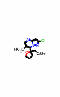 COCC1(c2c(C(=O)O)cnc3cc(Cl)nn23)CCCO1